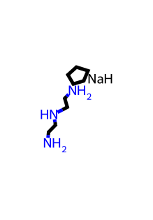 C1CCCC1.NCCNCCN.[NaH]